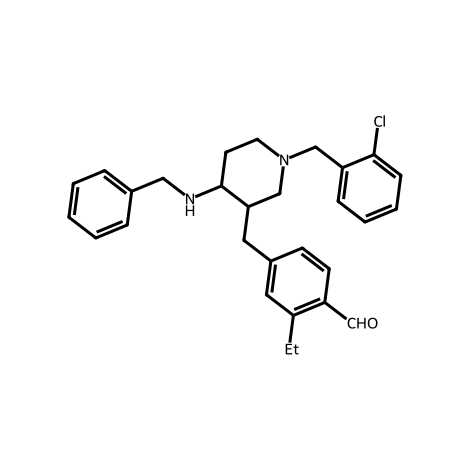 CCc1cc(CC2CN(Cc3ccccc3Cl)CCC2NCc2ccccc2)ccc1C=O